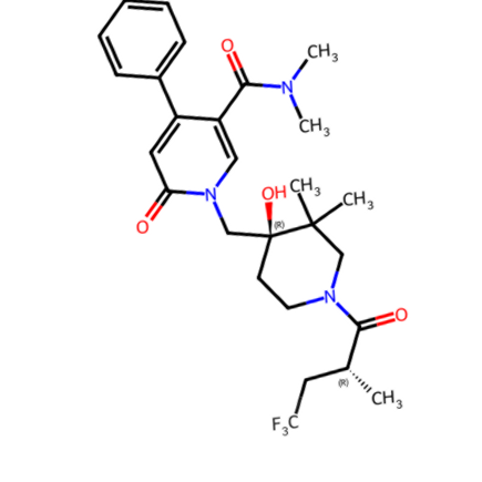 C[C@H](CC(F)(F)F)C(=O)N1CC[C@](O)(Cn2cc(C(=O)N(C)C)c(-c3ccccc3)cc2=O)C(C)(C)C1